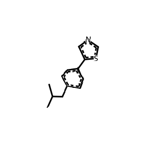 CC(C)Cc1ccc(-c2cncs2)cc1